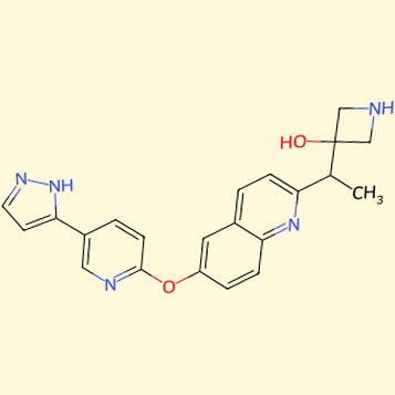 CC(c1ccc2cc(Oc3ccc(-c4ccn[nH]4)cn3)ccc2n1)C1(O)CNC1